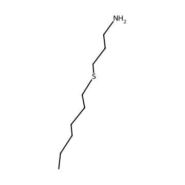 CCCCCCSCCCN